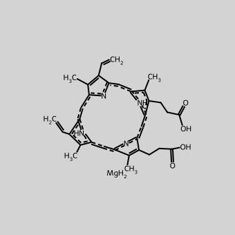 C=CC1=C(C)c2cc3[nH]c(cc4nc(cc5[nH]c(cc1n2)c(C)c5CCC(=O)O)C(CCC(=O)O)=C4C)c(C)c3C=C.[MgH2]